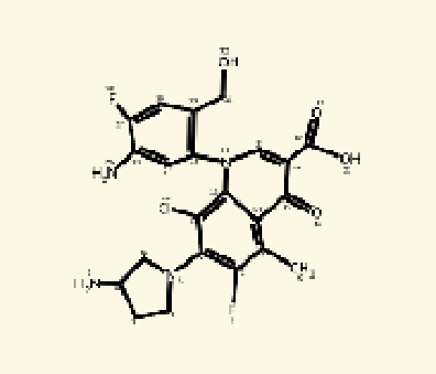 Cc1c(F)c(N2CCC(N)C2)c(Cl)c2c1c(=O)c(C(=O)O)cn2-c1cc(N)c(F)cc1CO